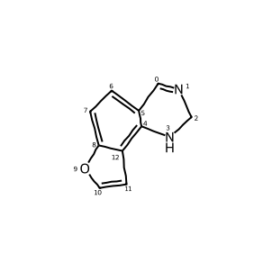 C1=NCNc2c1ccc1occc21